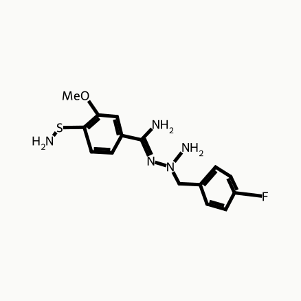 COc1cc(/C(N)=N/N(N)Cc2ccc(F)cc2)ccc1SN